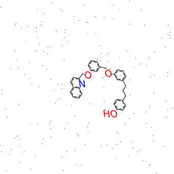 Oc1ccc(CCCc2cccc(OCc3cccc(OCc4ccc5ccccc5n4)c3)c2)cc1